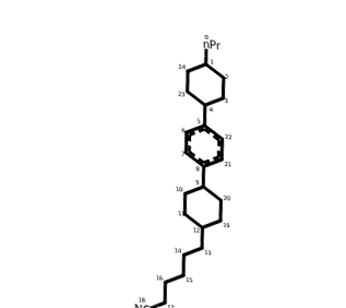 CCCC1CCC(c2ccc(C3CCC(CCCCCC#N)CC3)cc2)CC1